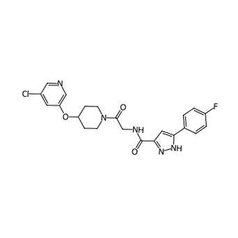 O=C(NCC(=O)N1CCC(Oc2cncc(Cl)c2)CC1)c1cc(-c2ccc(F)cc2)[nH]n1